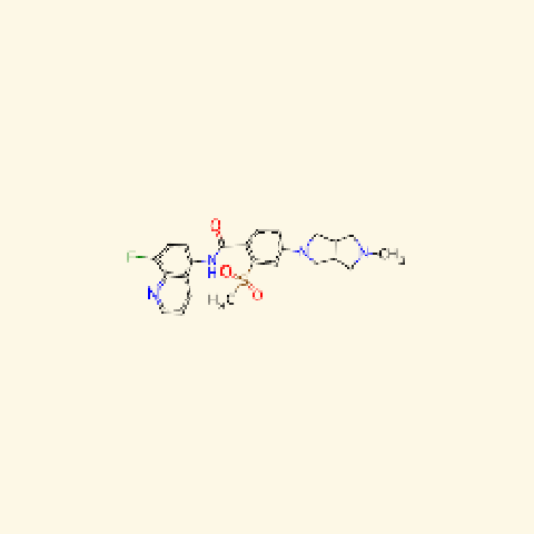 CN1CC2CN(c3ccc(C(=O)Nc4ccc(F)c5ncccc45)c(S(C)(=O)=O)c3)CC2C1